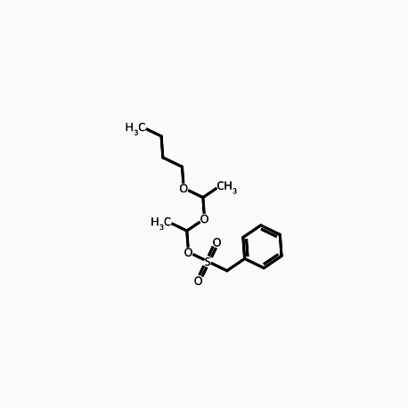 CCCCOC(C)OC(C)OS(=O)(=O)Cc1ccccc1